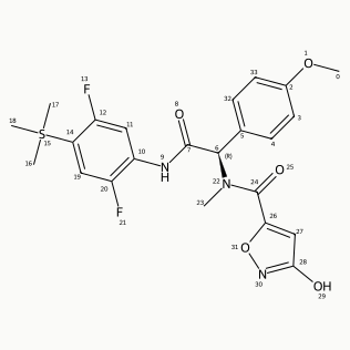 COc1ccc([C@H](C(=O)Nc2cc(F)c(S(C)(C)C)cc2F)N(C)C(=O)c2cc(O)no2)cc1